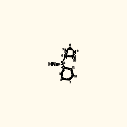 [NaH].c1ccc(Sn2ncnn2)cc1